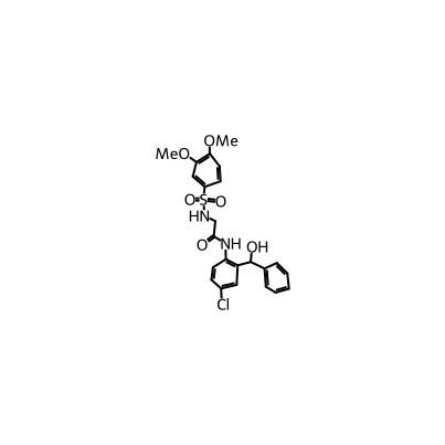 COc1ccc(S(=O)(=O)NCC(=O)Nc2ccc(Cl)cc2C(O)c2ccccc2)cc1OC